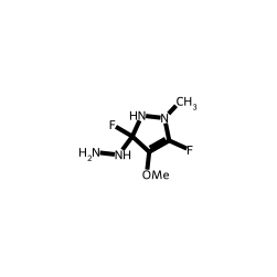 COC1=C(F)N(C)NC1(F)NN